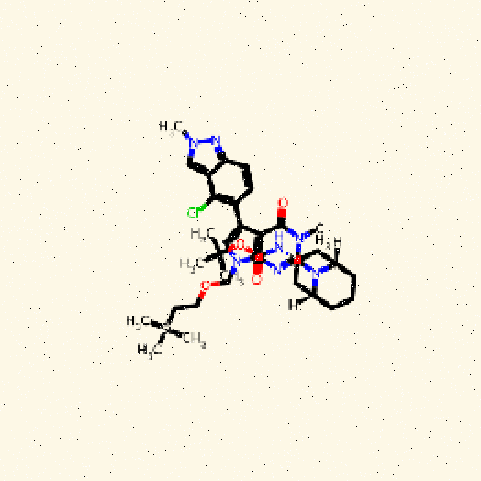 Cn1cc2c(Cl)c(-c3cn(COCC[Si](C)(C)C)c4nc(N5[C@@H]6CCC[C@H]5C[C@@H](NC(=O)OC(C)(C)C)C6)n(C)c(=O)c34)ccc2n1